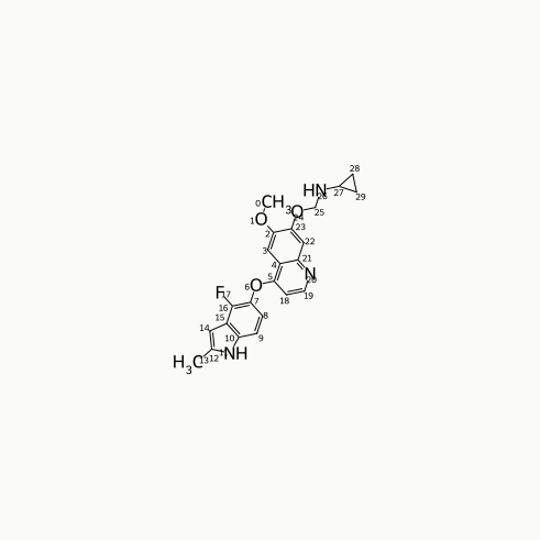 COc1cc2c(Oc3ccc4[nH]c(C)cc4c3F)ccnc2cc1OCNC1CC1